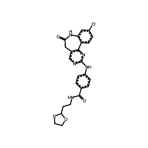 O=C1Cc2cnc(Nc3ccc(C(=O)NCCC4OCCO4)cc3)nc2-c2ccc(Cl)cc2N1